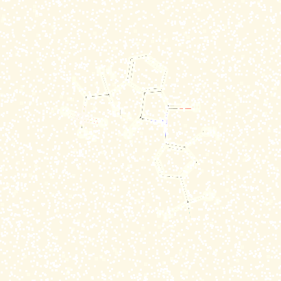 Cc1cc(C(F)(C(F)(F)F)C(F)(F)F)ccc1N1C(=O)c2cccc(C(C)(C)C(I)S(C)(=O)=O)c2C1=O